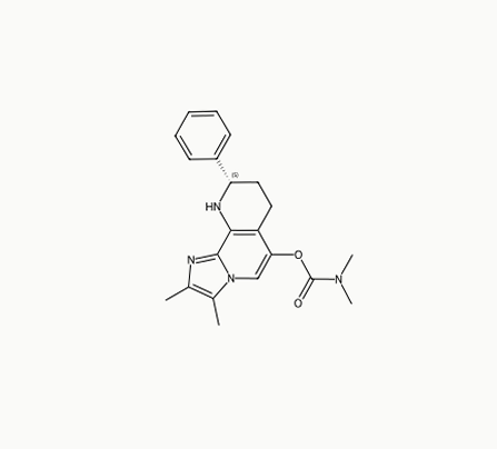 Cc1nc2c3c(c(OC(=O)N(C)C)cn2c1C)CC[C@@H](c1ccccc1)N3